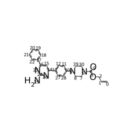 C=CCOC(=O)N1CCN(c2ccc(-c3cc(-c4ccccc4)nc(N)n3)cc2)CC1